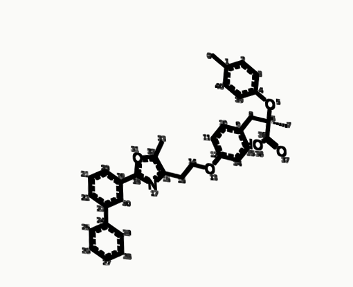 Cc1ccc(O[C@](C)(Cc2ccc(OCCc3nc(-c4cccc(-c5ccccc5)c4)oc3C)cc2)C(=O)O)cc1